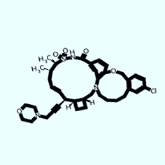 C[C@@H]1[C@@H](C)C/C=C/[C@H](C#CCN2CCOCC2)[C@@H]2CC[C@H]2CN2CCCCc3cc(Cl)ccc3COc3ccc(cc32)C(=O)NS1(=O)=O